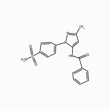 NS(=O)(=O)c1ccc(-n2nc(C(F)(F)F)cc2NC(=O)c2ccccc2)cc1